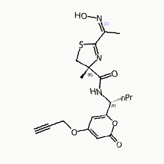 C#CCOc1cc([C@@H](CCC)NC(=O)[C@]2(C)CSC(/C(C)=N\O)=N2)oc(=O)c1